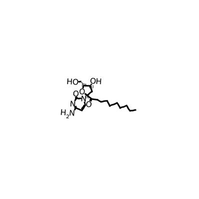 CCCCCCCCCC(=O)[C@]1(n2ccc(N)nc2=O)C[C@H](O)[C@@H](CO)O1